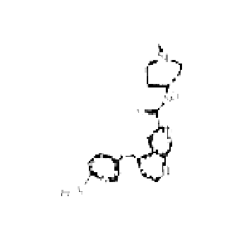 CN1CCC(NC(=O)c2cc3c(Oc4ccc(N)nc4)ccnc3cn2)CC1